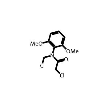 COc1cccc(OC)c1N(CCl)C(=O)CCl